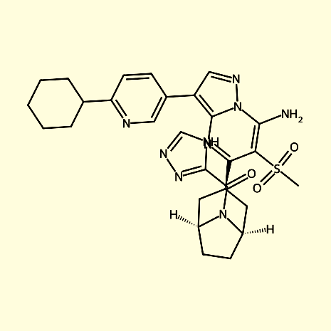 CS(=O)(=O)c1c([C@H]2C[C@H]3CC[C@@H](C2)N3C(=O)c2nnc[nH]2)nc2c(-c3ccc(C4CCCCC4)nc3)cnn2c1N